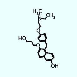 CCN(CC)CCOc1ccc(Cc2c(OCCCO)ccc3cc(O)ccc23)cc1